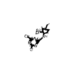 Cc1ccc(Nc2nc(Cl)nc(Cl)n2)c(Br)c1